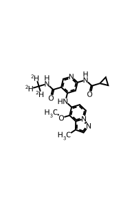 [2H]C([2H])([2H])NC(=O)c1cnc(NC(=O)C2CC2)cc1Nc1ccn2ncc(C)c2c1OC